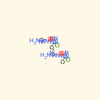 CNc1nc(Cl)c(-c2cccc(Cc3nc(N)ccc3CNC(=O)Cn3c(-c4ccccc4)c(Cl)nc(N(C)C)c3=O)c2)n(CC(=O)NCc2ccc(N)nc2C)c1=O